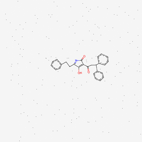 O=C(CC(c1ccccc1)c1ccccc1)C1=C(O)C(CCc2ccccc2)=NC1=O